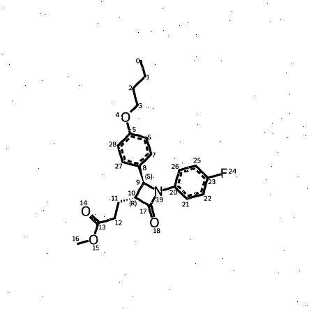 CCCCOc1ccc([C@@H]2[C@@H](CCC(=O)OC)C(=O)N2c2ccc(F)cc2)cc1